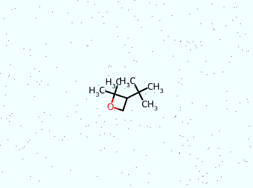 CC(C)(C)C1COC1(C)C